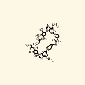 CCC(=O)NC1CC(n2cnc3c(N)nc(N4CC[C@@H](NC(=O)N[C@@H]5CCN(c6nc(N)c7ncn(C8CC(NC(=O)CC)C(O)C8O)c7n6)C5)C4)nc32)C(O)C1O